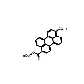 CCCCCCCCOC(=O)c1ccc2c3cccc4c(C(=O)O)ccc(c5cccc1c52)c43